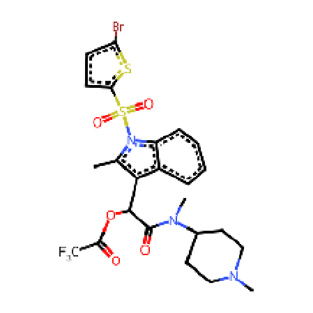 Cc1c(C(OC(=O)C(F)(F)F)C(=O)N(C)C2CCN(C)CC2)c2ccccc2n1S(=O)(=O)c1ccc(Br)s1